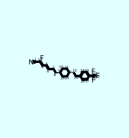 N#CC(F)=CC=CCC[C@H]1CC[C@H](CCc2ccc(C(F)(F)F)cc2)CC1